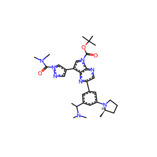 CC(c1cc(-c2cnc3c(n2)c(-c2cnn(C(=O)N(C)C)c2)cn3C(=O)OC(C)(C)C)cc(N2CCC[C@H]2C)c1)N(C)C